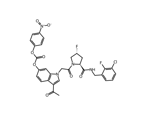 CC(=O)c1cn(CC(=O)N2C[C@H](F)C[C@H]2C(=O)NCc2cccc(Cl)c2F)c2cc(OC(=O)Oc3ccc([N+](=O)[O-])cc3)ccc12